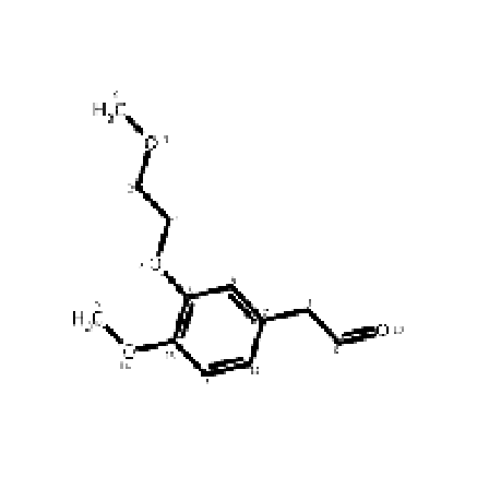 COCCOc1cc(CC=O)ccc1OC